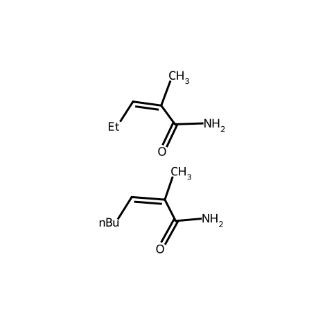 CCC=C(C)C(N)=O.CCCCC=C(C)C(N)=O